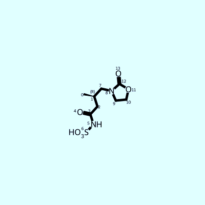 C[C@H](CC(=O)NS(=O)(=O)O)CN1CCOC1=O